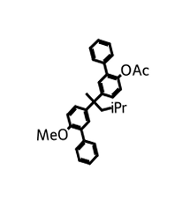 COc1ccc(C(C)(CC(C)C)c2ccc(OC(C)=O)c(-c3ccccc3)c2)cc1-c1ccccc1